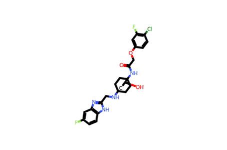 O=C(COc1ccc(Cl)c(F)c1)NC12CCC(NCc3nc4cc(F)ccc4[nH]3)(CC1)CC2O